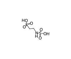 O=S(=O)(O)CCNS(=O)(=O)O